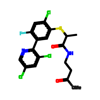 COC(=O)CCNC(=O)C(C)Sc1cc(-c2ncc(Cl)cc2Cl)c(F)cc1Cl